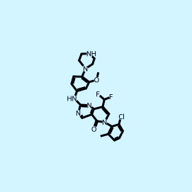 COc1cc(Nc2ncc3c(=O)n(-c4c(C)cccc4Cl)cc(C(F)F)c3n2)ccc1N1CCNCC1